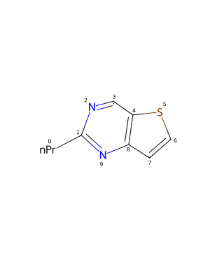 CCCc1n[c]c2sccc2n1